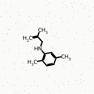 C=C(C)CNc1cc(C)ccc1C